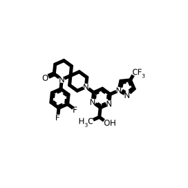 CC(O)c1nc(N2CCC3(CCCC(=O)N3c3ccc(F)c(F)c3)CC2)cc(-n2cc(C(F)(F)F)cn2)n1